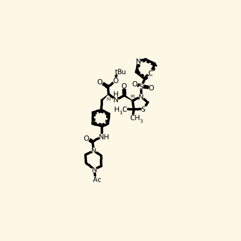 CC(=O)N1CCN(C(=O)Nc2ccc(C[C@H](NC(=O)[C@H]3N(S(=O)(=O)c4cccnc4)CSC3(C)C)C(=O)OC(C)(C)C)cc2)CC1